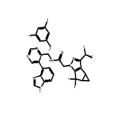 O=C(Cn1nc(C(F)F)c2c1C(F)(F)C1CC21)N[C@@H](Cc1cc(F)cc(F)c1)c1ncncc1-c1cccc2[nH]cnc12